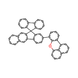 c1ccc2c(c1)-c1ccccc1C21c2cc(-c3cccc4c3Oc3cccc5cccc-4c35)ccc2-c2cc3ccccc3cc21